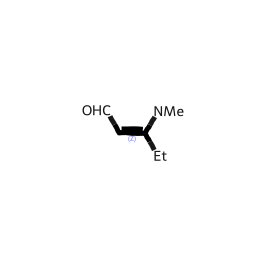 CC/C(=C/C=O)NC